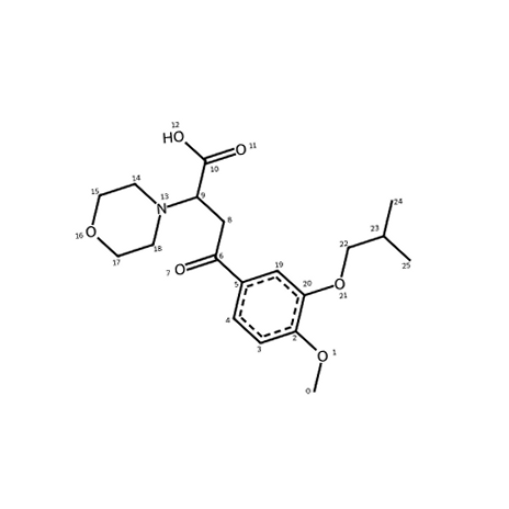 COc1ccc(C(=O)CC(C(=O)O)N2CCOCC2)cc1OCC(C)C